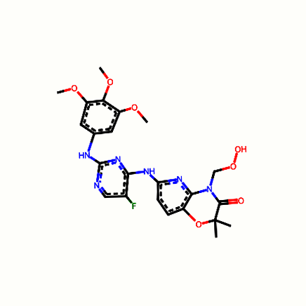 COc1cc(Nc2ncc(F)c(Nc3ccc4c(n3)N(COO)C(=O)C(C)(C)O4)n2)cc(OC)c1OC